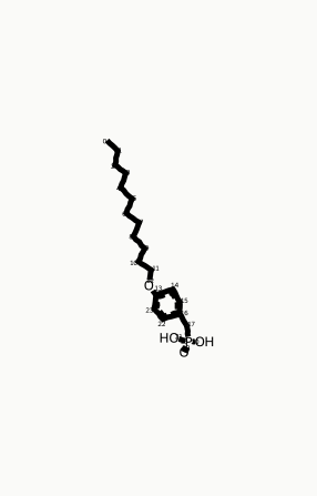 CCCCCCCCCCCCOc1ccc(CP(=O)(O)O)cc1